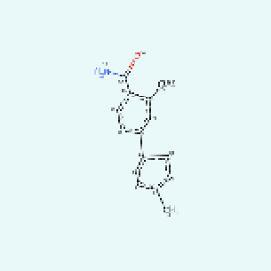 CC(=O)Oc1cc(-c2ccc(C)cc2)ccc1C(N)=O